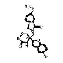 COc1ccc2c(c1)C(=O)N(C[C@]1(c3cc4cc(Br)ccc4o3)CONC(=O)N1)C2